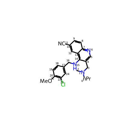 CCCN(C)Cc1cnc2ccc(C#N)cc2c1NCc1ccc(OC)c(Cl)c1